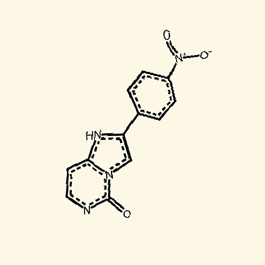 O=c1nccc2[nH]c(-c3ccc([N+](=O)[O-])cc3)cn12